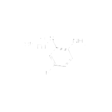 F.F.Nc1ccc(F)cc1[N+](=O)[O-]